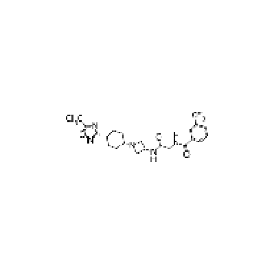 O=C(CNC(=O)c1cccc(C(F)(F)F)c1)NC1CN([C@H]2CC[C@@H](c3noc(C(Cl)(Cl)Cl)n3)CC2)C1